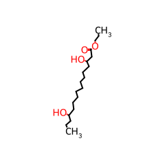 CCCOC(=O)CC(O)CCCCCCCCCC(O)CCC